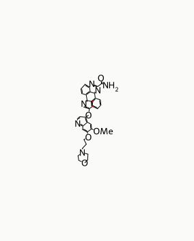 COc1cc2c(Oc3ccc(-c4cccc5nc(C(N)=O)nc(-c6ccccc6)c45)nc3)ccnc2cc1OCCCN1CCOCC1